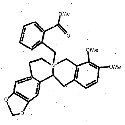 COC(=O)c1ccccc1C[N+]12CCc3cc4c(cc3C1Cc1ccc(OC)c(OC)c1C2)OCO4